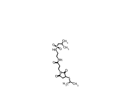 CC(C)CS(=O)(=O)NCCNC(=O)CCN1C(=O)CC(SC(C)C)C1=O